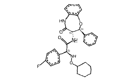 O=C(N[C@@H]1C(=O)Nc2ccccc2O[C@H]1c1ccccc1)[C@@H](NOC1CCCCC1)c1ccc(F)cc1